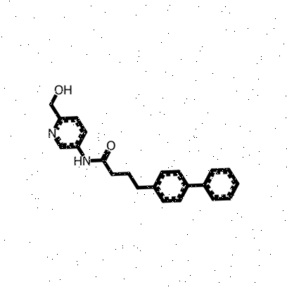 O=C(CCCc1ccc(-c2ccccc2)cc1)Nc1ccc(CO)nc1